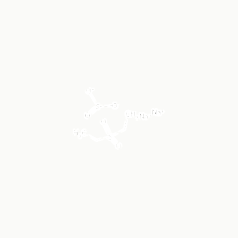 CCS(=O)(=O)CC.O=S([O-])[O-].[Na+].[Na+]